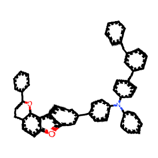 C1=C(c2ccccc2)Oc2c(ccc3oc4cc(-c5ccc(N(c6ccccc6)c6ccc(-c7cccc(-c8ccccc8)c7)cc6)cc5)ccc4c23)C1